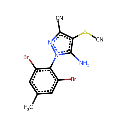 N#CSc1c(C#N)nn(-c2c(Br)cc(C(F)(F)F)cc2Br)c1N